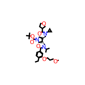 CCc1ccc(C(=O)N(C[C@@H]2CN(C(=O)OC(C)(C)C)C[C@H]2CN(C(=O)C2CCOC2)C2CC2)C(C)C)cc1OCCCOC